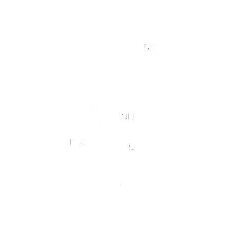 CC(C(=O)Nc1ccc([N+](=O)[O-])cc1)c1ccccn1